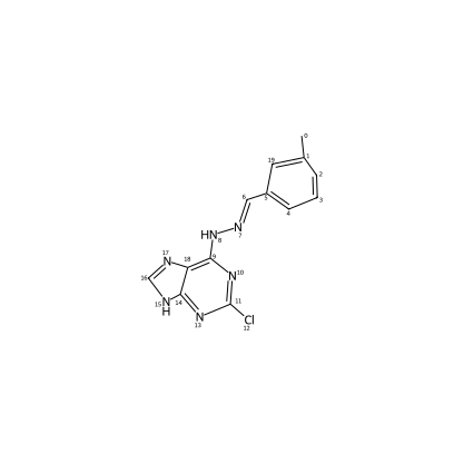 Cc1cccc(C=NNc2nc(Cl)nc3[nH]cnc23)c1